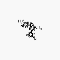 Cc1cc(-c2cc(F)cc(C#N)c2)nc2c(C(=O)NC(C)C3CC3)cnn12